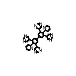 c1ccc(-c2c(-c3cncnc3)cc(-c3cc(-c4cncnc4)c(-c4ccccn4)c(-c4cncnc4)c3)cc2-c2cncnc2)nc1